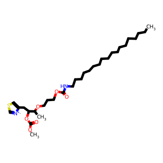 CCCCCCCCCCCCCCCCCCNC(=O)OCCCOC(C)C(CC1=CSC=[N+]1)OC(=O)OC